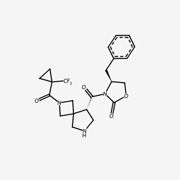 O=C1OC[C@H](Cc2ccccc2)N1C(=O)[C@@H]1CNCC12CN(C(=O)C1(C(F)(F)F)CC1)C2